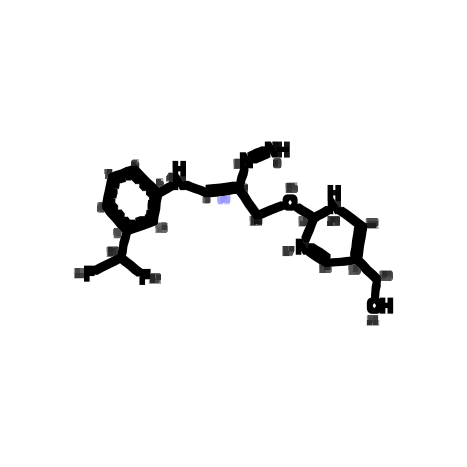 N=N/C(=C\Nc1cccc(C(F)F)c1)COC1N=CC(CO)=CN1